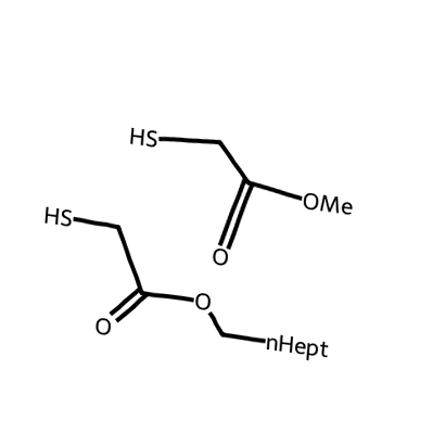 CCCCCCCCOC(=O)CS.COC(=O)CS